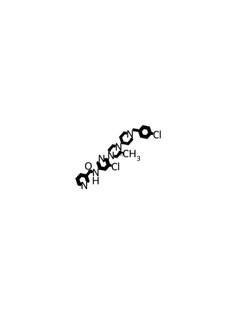 C[C@H]1CN(c2ncc(NC(=O)c3cccnc3)cc2Cl)CCN1C1CCN(Cc2ccc(Cl)cc2)CC1